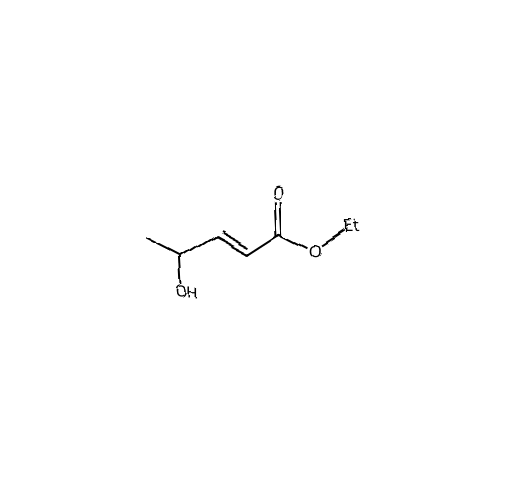 CCOC(=O)C=CC(C)O